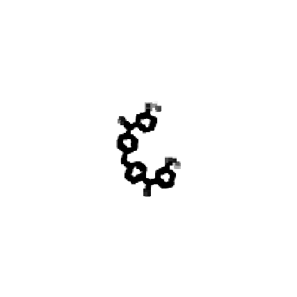 Nc1cccc(C(=O)c2ccc(Cc3ccc(C(=O)c4cccc(N)c4)cc3)cc2)c1